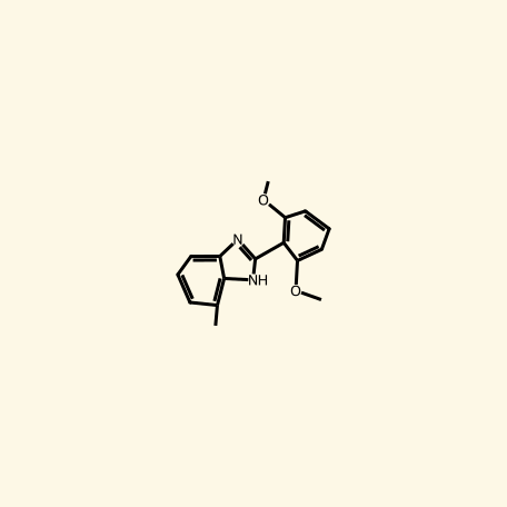 COc1cccc(OC)c1-c1nc2cccc(C)c2[nH]1